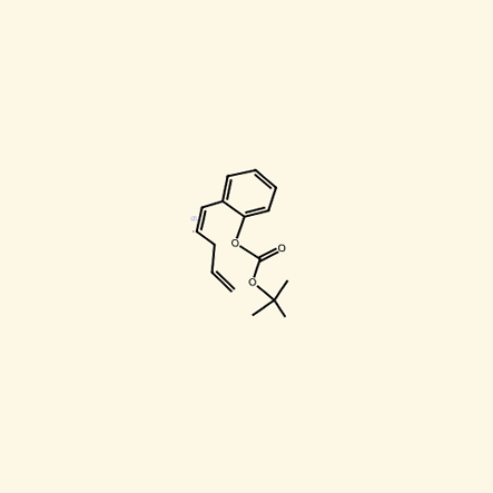 C=CC/[C]=C\c1ccccc1OC(=O)OC(C)(C)C